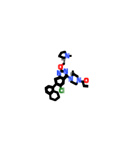 C=CC(=O)N1CCN(c2nc(OC[C@@H]3CCCN3C)nc3cc(-c4cccc5c4CCCC5)c(Cl)cc23)[C@@H](C)C1